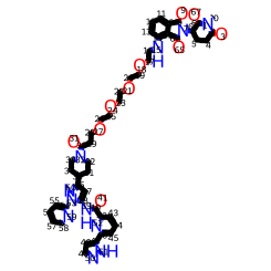 CN1C(=O)CCC(N2C(=O)c3cccc(NCCOCCOCCOCCOCCC(=O)N4CCC(c5cc(NC(=O)c6cccc(-c7ccn[nH]7)n6)n(-c6ccccn6)n5)CC4)c3C2=O)C1=O